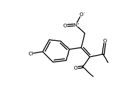 CC(=O)C(C(C)=O)=C(C[N+](=O)[O-])c1ccc(Cl)cc1